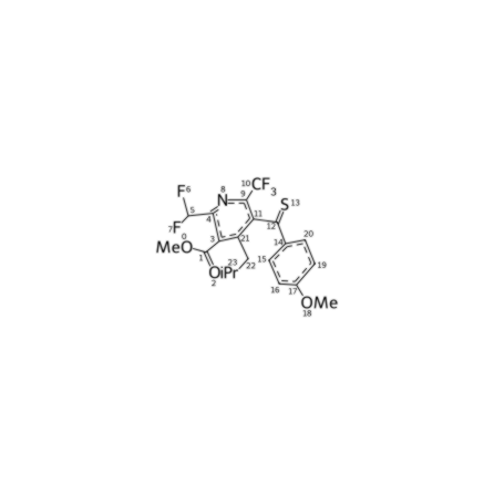 COC(=O)c1c(C(F)F)nc(C(F)(F)F)c(C(=S)c2ccc(OC)cc2)c1CC(C)C